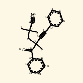 CC(C)(C#N)CC(C)(C#Cc1ccccc1)C(=O)c1ccccc1